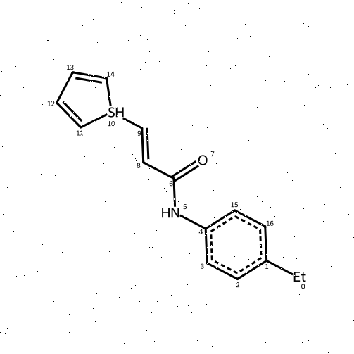 CCc1ccc(NC(=O)C=C[SH]2C=CC=C2)cc1